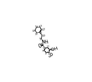 COc1ccc(C(=O)NCCC2=CCCCC2)cc1O